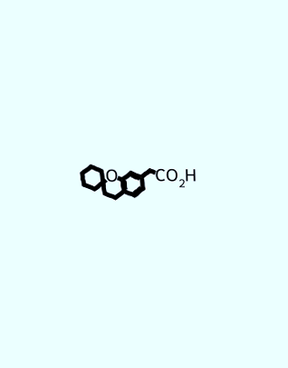 O=C(O)Cc1ccc2c(c1)OC1(CCCCC1)CC2